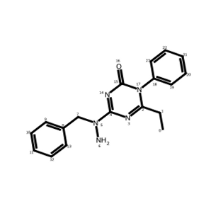 CCc1nc(N(N)Cc2ccccc2)nc(=O)n1-c1ccccc1